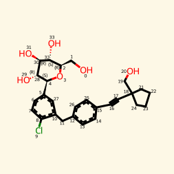 OC[C@H]1O[C@@H](c2ccc(Cl)c(Cc3ccc(C#CC4(CO)CCCC4)cc3)c2)[C@H](O)[C@@H](O)[C@@H]1O